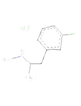 CC(C)(C)NC(C=O)Cc1cccc(Cl)c1.Cl